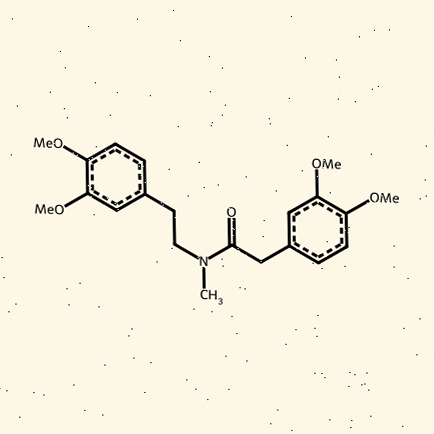 COc1ccc(CCN(C)C(=O)Cc2ccc(OC)c(OC)c2)cc1OC